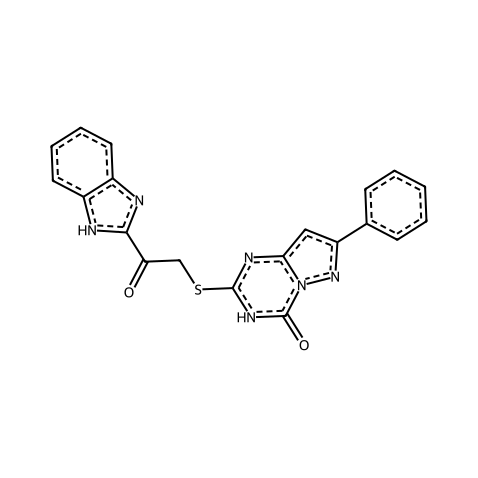 O=C(CSc1nc2cc(-c3ccccc3)nn2c(=O)[nH]1)c1nc2ccccc2[nH]1